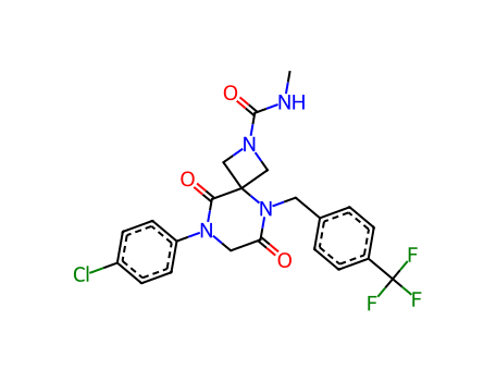 CNC(=O)N1CC2(C1)C(=O)N(c1ccc(Cl)cc1)CC(=O)N2Cc1ccc(C(F)(F)F)cc1